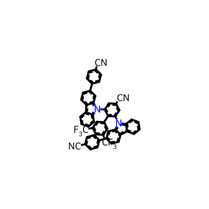 N#Cc1ccc(-c2ccc3c4ccccc4n(-c4cc(C#N)cc(-n5c6ccccc6c6ccc(-c7ccc(C#N)cc7)cc65)c4-c4cc(C(F)(F)F)cc(C(F)(F)F)c4)c3c2)cc1